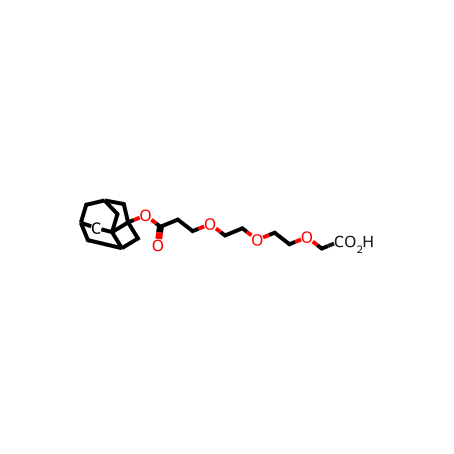 O=C(O)COCCOCCOCCC(=O)OC12CC3CC4CC(C1)C2(C4)C3